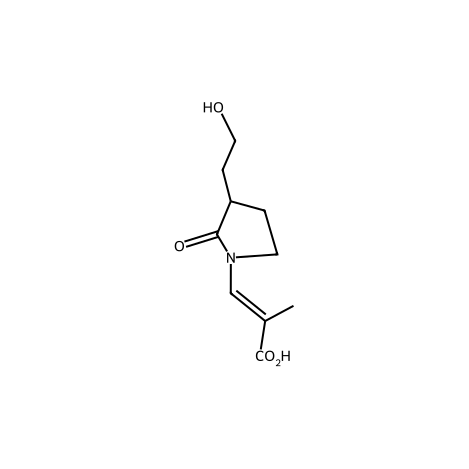 CC(=CN1CCC(CCO)C1=O)C(=O)O